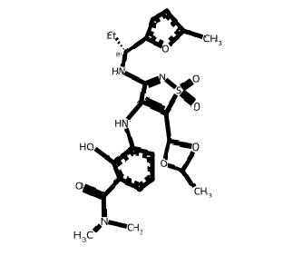 CC[C@@H](NC1=NS(=O)(=O)C(C2OC(C)O2)=C1Nc1cccc(C(=O)N(C)C)c1O)c1ccc(C)o1